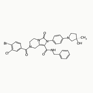 C[C@@]1(O)CCN(c2ccc(-n3c(C(=O)NCc4ccccc4)c4n(c3=O)CCN(C(=O)c3ccc(Br)c(Cl)c3)C4)cc2)C1